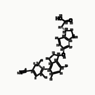 Cc1cc(C#N)cc(C)c1-c1c(C)cc(C)c2c1CCC2Oc1ccc2c(c1)SC[C@H]2CC(=O)O